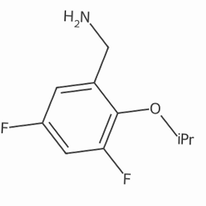 CC(C)Oc1c(F)cc(F)cc1CN